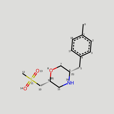 Cc1ccc(C[C@H]2CO[C@@H](CS(C)(=O)=O)CN2)cc1